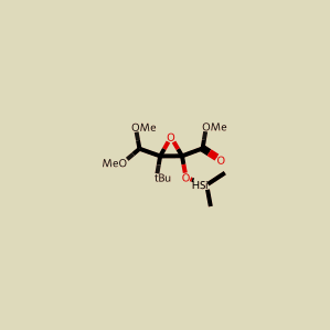 COC(=O)C1(O[SiH](C)C)OC1(C(OC)OC)C(C)(C)C